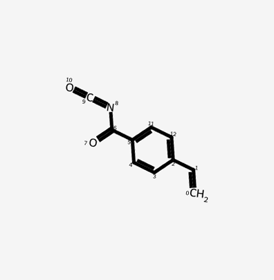 C=Cc1ccc(C(=O)N=C=O)cc1